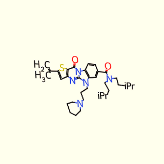 C=C(C)c1cc2nc3n(CCCN4CCCCC4)c4cc(C(=O)N(CCC(C)C)CCC(C)C)ccc4n3c(=O)c2s1